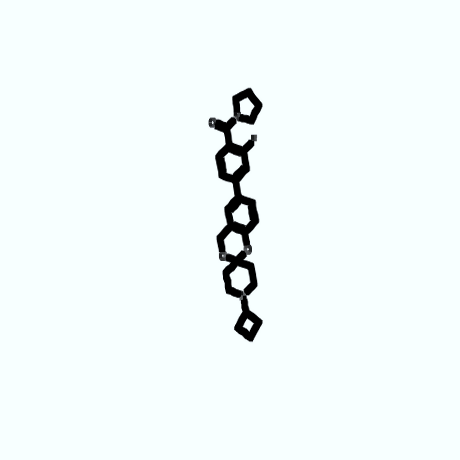 O=C(c1ccc(-c2ccc3c(c2)COC2(CCN(C4CCC4)CC2)O3)cc1F)N1CCCC1